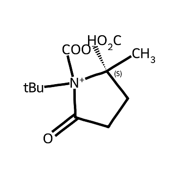 CC(C)(C)[N+]1(C(=O)[O-])C(=O)CC[C@@]1(C)C(=O)O